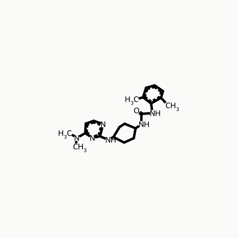 Cc1cccc(C)c1NC(=O)NC1CCC(Nc2nccc(N(C)C)n2)CC1